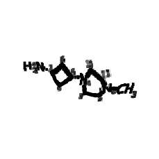 CN1CCN([C@H]2C[C@@H](N)C2)CC1